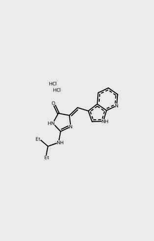 CCC(CC)NC1=NC(=Cc2c[nH]c3ncccc23)C(=O)N1.Cl.Cl